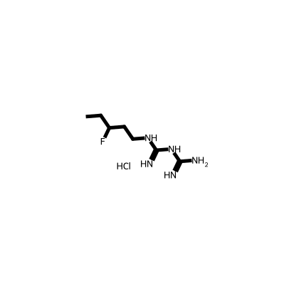 CCC(F)CCNC(=N)NC(=N)N.Cl